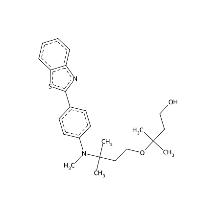 CN(c1ccc(-c2nc3ccccc3s2)cc1)C(C)(C)CCOC(C)(C)CCO